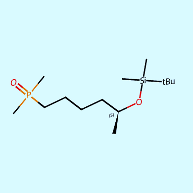 C[C@@H](CCCCP(C)(C)=O)O[Si](C)(C)C(C)(C)C